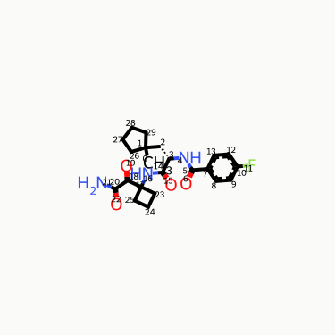 CC1(C[C@H](NC(=O)c2ccc(F)cc2)C(=O)NC2(C(=O)C(N)=O)CCC2)CCCC1